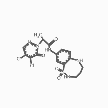 C[C@@H](C(=O)Nc1ccc2c(c1)S(=O)(=O)NCCCN2)n1ncc(Cl)c(Cl)c1=O